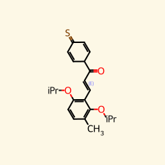 Cc1ccc(OC(C)C)c(/C=C/C(=O)C2C=CC(=S)C=C2)c1OC(C)C